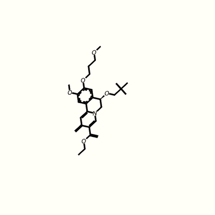 C=C1C=C2c3cc(OC)c(OCCCOC)cc3[C@@H](OCC(C)(C)C)CN2C=C1C(=C)OCC